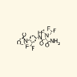 NC(=O)[C@@H](C(=O)Nc1ccc(N2CCOCC2=O)c(C(F)F)c1)N(CC(F)F)C1CC1